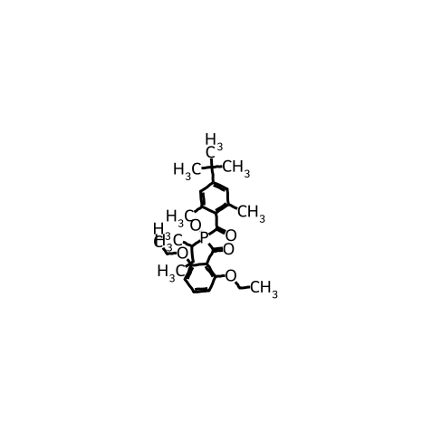 CCOc1cccc(OCC)c1C(=O)P(=O)(C(=O)c1c(C)cc(C(C)(C)C)cc1C)C(C)CC